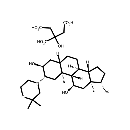 CC(=O)[C@H]1CC[C@H]2[C@@H]3CC[C@H]4C[C@H](O)[C@@H](N5CCOC(C)(C)C5)C[C@]4(C)[C@H]3[C@H](O)C[C@]12C.O=C(O)CC(O)(CC(=O)O)C(=O)O